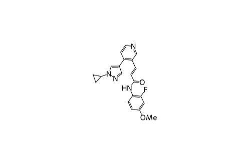 COc1ccc(NC(=O)C=Cc2cnccc2-c2cnn(C3CC3)c2)c(F)c1